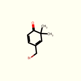 CC1(C)C=C(CBr)C=CC1=O